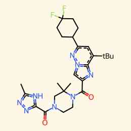 Cc1nnc(C(=O)N2CCN(C(=O)c3cn4nc(C5CCC(F)(F)CC5)cc(C(C)(C)C)c4n3)C(C)(C)C2)[nH]1